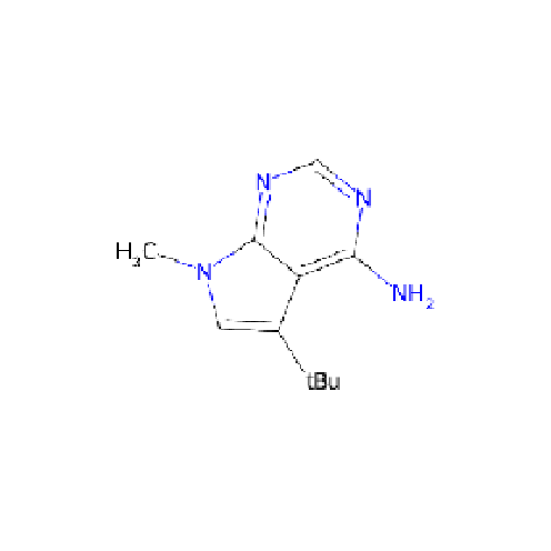 Cn1cc(C(C)(C)C)c2c(N)ncnc21